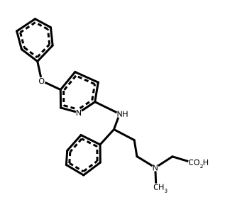 CN(CCC(Nc1ccc(Oc2ccccc2)cn1)c1ccccc1)CC(=O)O